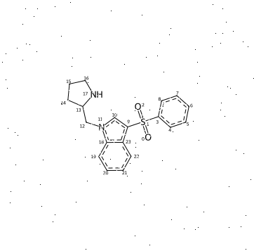 O=S(=O)(c1ccccc1)c1cn(CC2CCCN2)c2ccccc12